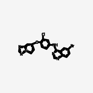 Clc1cc(Nc2ncnc3ccc(Br)cc23)ccc1Oc1ccn2ncnc2c1